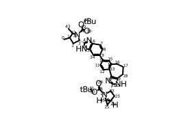 CC1C[C@@H](c2nc3ccc(-c4ccc5c(c4)CCCc4[nH]c([C@@H]6C[C@H]7C[C@H]7N6C(=O)OC(C)(C)C)nc4-5)cc3[nH]2)N(C(=O)OC(C)(C)C)C1C